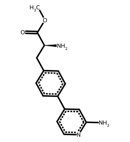 COC(=O)[C@@H](N)Cc1ccc(-c2ccnc(N)c2)cc1